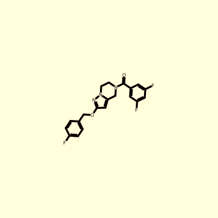 O=C(c1cc(F)cc(F)c1)N1CCn2nc(OCc3ccc(F)cc3)cc2C1